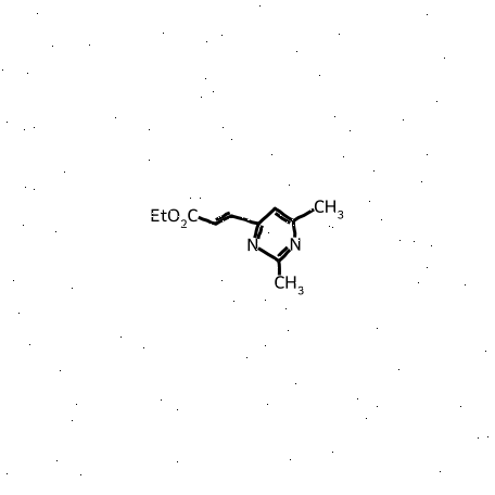 CCOC(=O)/C=C/c1cc(C)nc(C)n1